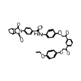 CCOc1ccc(OCC(=O)c2cccc(C(=O)COc3ccc(NC(=O)c4ccc(N5C(=O)C6C7CCC(C7)C6C5=O)cc4)cc3)c2)cc1